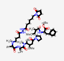 CCC(C)C(C(CC(=O)N1CCC[C@H]1C(OC)C(C)C(=O)NC(Cc1ccccc1)C(=O)OC(C)(C)C)OC)N(C)C(=O)C(NC(=O)C(C(C)C)N(C)CCCC(=O)NNC(=O)CCCCCN1C(=O)C=CC1=O)C(C)C